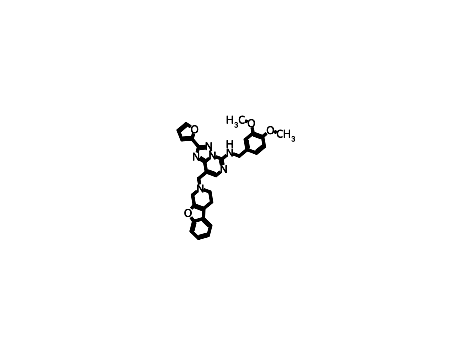 COc1ccc(CNc2ncc(CN3CCc4c(oc5ccccc45)C3)c3nc(-c4ccco4)nn23)cc1OC